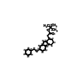 CC(C)(C)OC(=O)CC1=CCCn2c1cc1cc(OCc3ccccc3)ccc12